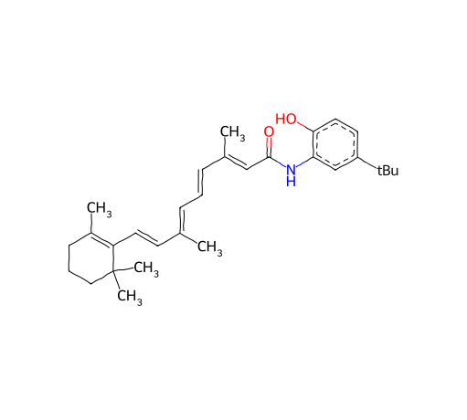 CC(C=CC1=C(C)CCCC1(C)C)=CC=CC(C)=CC(=O)Nc1cc(C(C)(C)C)ccc1O